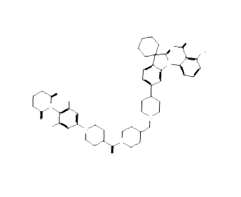 O=C(C1CCN(c2cc(F)c(N3C(=O)CCCC3=O)c(F)c2)CC1)N1CCC(CN2CCC(c3ccc4c(c3)-n3c(nc(=O)c5c(Br)cccc53)C43CCCCC3)CC2)CC1